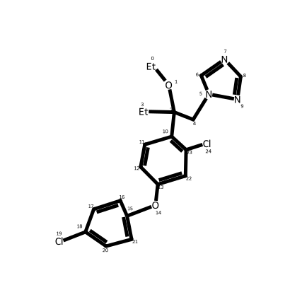 CCOC(CC)(Cn1cncn1)c1ccc(Oc2ccc(Cl)cc2)cc1Cl